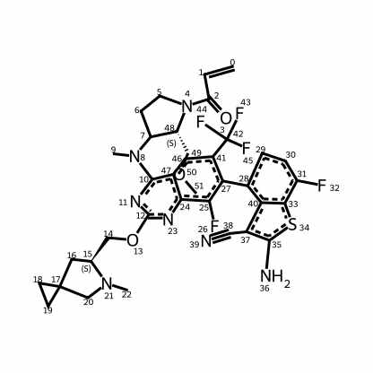 C=CC(=O)N1CCC(N(C)c2nc(OC[C@@H]3CC4(CC4)CN3C)nc3c(F)c(-c4ccc(F)c5sc(N)c(C#N)c45)c(C(F)(F)F)cc23)[C@H]1COC